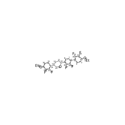 CCOc1ccc(-c2ccc(C3CCC(c4ccc(OCC)c(F)c4F)CO3)c(F)c2F)c(F)c1F